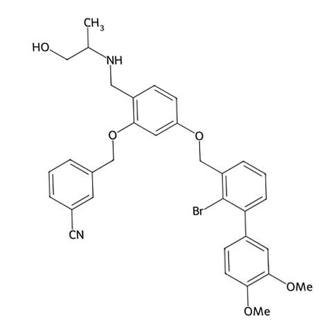 COc1ccc(-c2cccc(COc3ccc(CNC(C)CO)c(OCc4cccc(C#N)c4)c3)c2Br)cc1OC